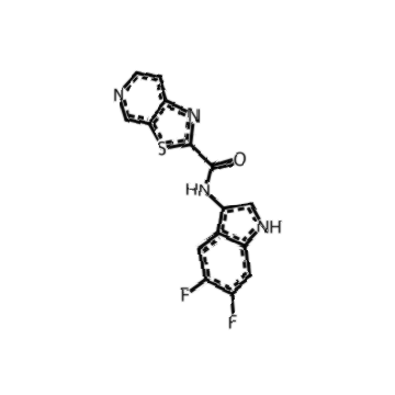 O=C(Nc1c[nH]c2cc(F)c(F)cc12)c1nc2ccncc2s1